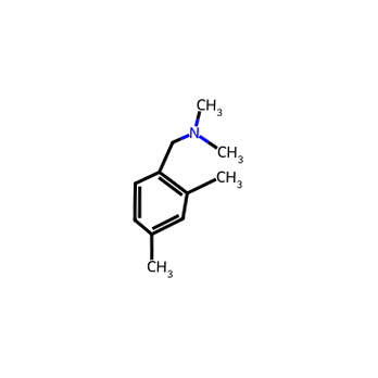 Cc1ccc(CN(C)C)c(C)c1